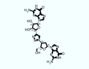 Nc1nc2c(ncn2[C@@H]2O[C@H](c3cn([C@H]4C[C@H](n5cnc6c(=O)[nH]c(N)nc65)O[C@@H]4CO)nn3)[C@@H](O)[C@@H]2O)c(=O)[nH]1